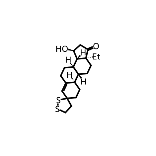 CC[C@]12CC[C@H]3[C@@H](CCC4=CC5(CCSS5)CC[C@@H]43)[C@@H]1[C@@H](O)CC2=O